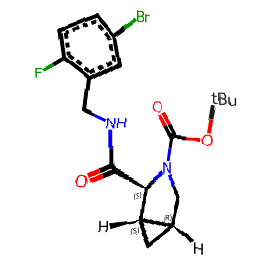 CC(C)(C)OC(=O)N1C[C@@H]2C[C@@H]2[C@H]1C(=O)NCc1cc(Br)ccc1F